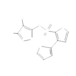 Cc1noc(NS(=O)(=O)c2sccc2-c2cccs2)c1Br